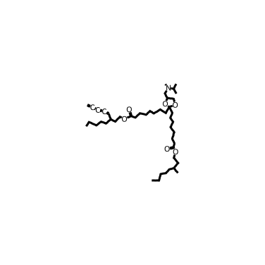 C=C=C=C=CC(CCCCC)CCOC(=O)CCCCCCCC1(CCCCCCCC(=O)OCCC(C)CCCCC)OCC(CN(C)C(C)C)O1